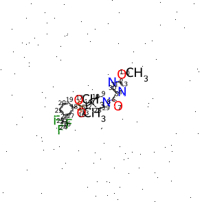 COc1cnc(C(=O)N2CCC(C(C)(C)S(=O)(=O)c3cccc(C(F)(F)F)c3)CC2)cn1